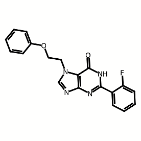 O=c1[nH]c(-c2ccccc2F)nc2ncn(CCOc3ccccc3)c12